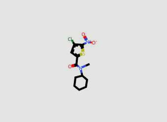 CN(C(=O)c1cc(Cl)c([N+](=O)[O-])s1)C1CCCCC1